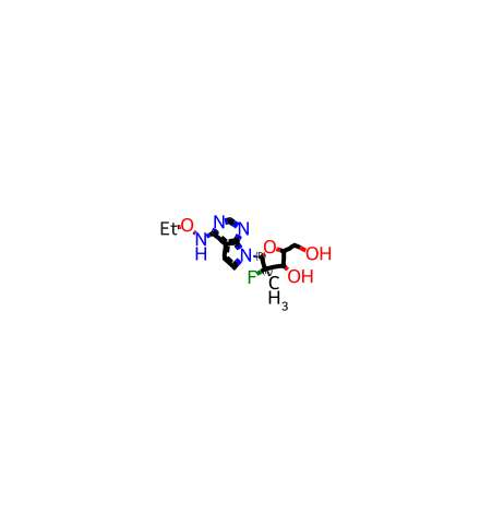 CCONc1ncnc2c1ccn2[C@@H]1OC(CO)C(O)[C@@]1(C)F